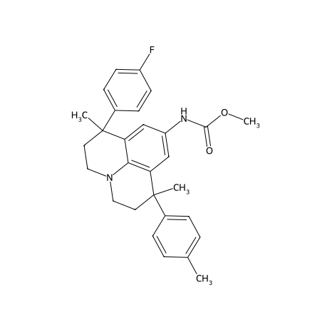 COC(=O)Nc1cc2c3c(c1)C(C)(c1ccc(F)cc1)CCN3CCC2(C)c1ccc(C)cc1